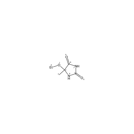 CCOC1(C)NC(=O)NC1=O